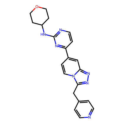 c1cc(Cc2nnc3cc(-c4ccnc(NC5CCOCC5)n4)ccn23)ccn1